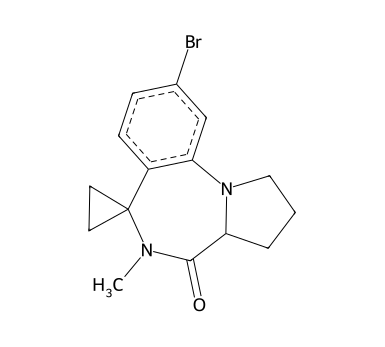 CN1C(=O)C2CCCN2c2cc(Br)ccc2C12CC2